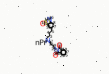 CCCN(CCCCc1ccc2c(c1)[S+]([O-])CN2C)CCCCN1C(=O)c2ccccc2C1=O